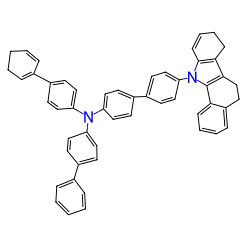 C1=CC(c2ccc(N(c3ccc(-c4ccccc4)cc3)c3ccc(-c4ccc(-n5c6c(c7c5-c5ccccc5CC7)CCC=C6)cc4)cc3)cc2)=CCC1